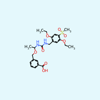 CCOc1cc(S(C)(=O)=O)c(OCC)cc1CNC(=O)NC(C)OCc1cccc(C(=O)O)c1